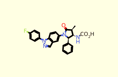 C[C@@H]1C(=O)N(c2ccc3c(cnn3-c3ccc(F)cc3)c2)[C@H](c2ccccc2)[C@H]1NC(=O)O